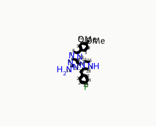 COc1ccc(-c2cnc3nc(N)nc(N4CCNCC4Cc4ccc(F)cc4)c3n2)cc1OC